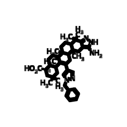 CC1(C)CC2C3=C(c4cnn(Cc5ccccc5)c4)CC4C5(C)Cc6c(n[nH]c6N)C(C)(C)C5CCC4(C)C3(C)CCC2[C@H](C(=O)O)C1